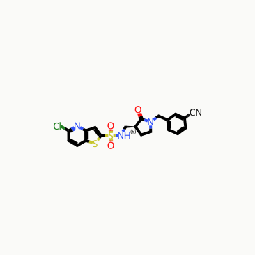 N#Cc1cccc(CN2CC[C@@H](CNS(=O)(=O)c3cc4nc(Cl)ccc4s3)C2=O)c1